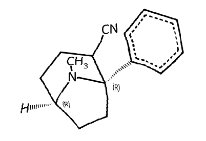 CN1[C@@H]2CCC(C#N)[C@@]1(c1ccccc1)CC2